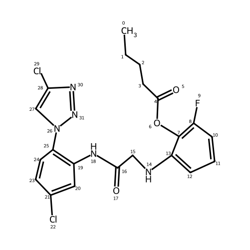 CCCCC(=O)Oc1c(F)cccc1NCC(=O)Nc1cc(Cl)ccc1-n1cc(Cl)nn1